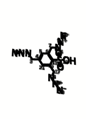 [N-]=[N+]=NCc1cc(CN=[N+]=[N-])c(S(=O)(=O)O)c(CN=[N+]=[N-])c1